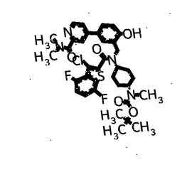 CN(C)C(=O)c1cc(-c2ccc(O)c(CN(C(=O)c3sc4c(F)ccc(F)c4c3Cl)[C@H]3CC[C@H](N(C)C(=O)OC(C)(C)C)CC3)c2)ccn1